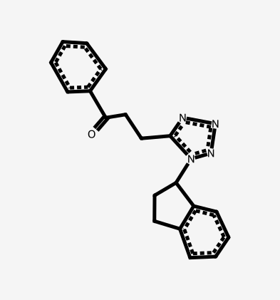 O=C(CCc1nnnn1C1CCc2ccccc21)c1ccccc1